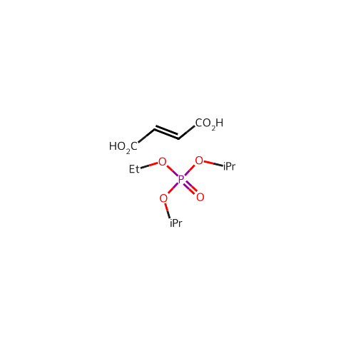 CCOP(=O)(OC(C)C)OC(C)C.O=C(O)/C=C/C(=O)O